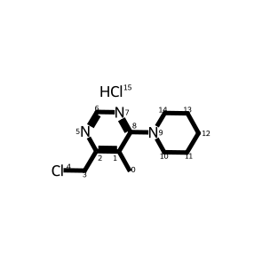 Cc1c(CCl)ncnc1N1CCCCC1.Cl